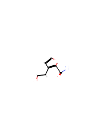 NC(=O)c1occc1CCO